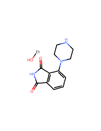 CCO.O=C1NC(=O)c2c1cccc2N1CCNCC1